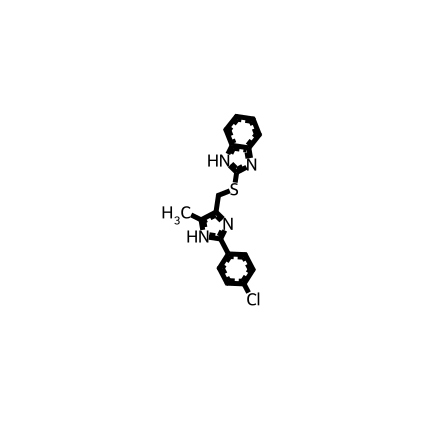 Cc1[nH]c(-c2ccc(Cl)cc2)nc1CSc1nc2ccccc2[nH]1